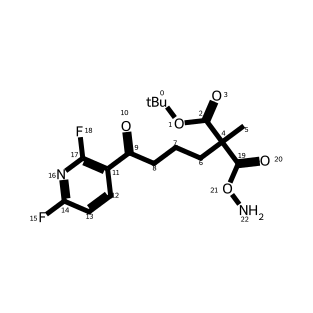 CC(C)(C)OC(=O)C(C)(CCCC(=O)c1ccc(F)nc1F)C(=O)ON